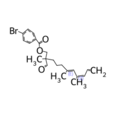 C=C/C=C(C)\C=C(/C)CCCC(C)(C=O)COC(=O)c1ccc(Br)cc1